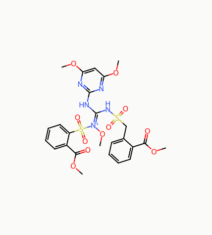 COC(=O)c1ccccc1CS(=O)(=O)NC(Nc1nc(OC)cc(OC)n1)=[N+](OC)S(=O)(=O)c1ccccc1C(=O)OC